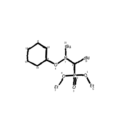 CCOP(=O)(OCC)C(N(OC1CCCCC1)C(C)(C)C)C(C)(C)C